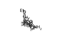 CCOCCOc1ccc(C(=O)NS(=O)(=O)c2cccc(N)n2)c(N2CCC(C)C2(C)C)n1